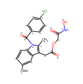 COc1ccc2c(c1)c(CC(=O)OCC(=O)NO)c(C)n2C(=O)c1ccc(Cl)cc1